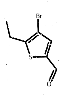 CCc1sc(C=O)cc1Br